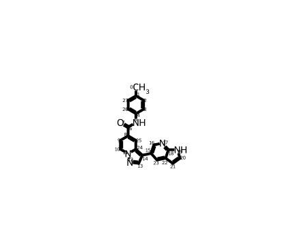 Cc1ccc(NC(=O)c2ccn3ncc(-c4cnc5[nH]ccc5c4)c3c2)cc1